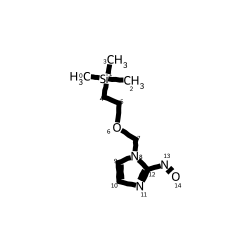 C[Si](C)(C)CCOCn1ccnc1N=O